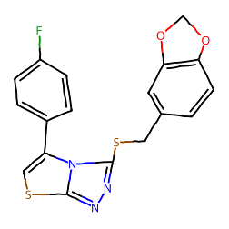 Fc1ccc(-c2csc3nnc(SCc4ccc5c(c4)OCO5)n23)cc1